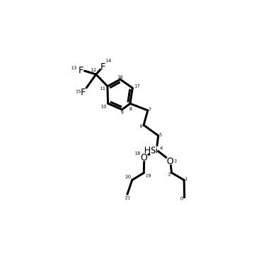 CCCO[SiH](CCCc1ccc(C(F)(F)F)cc1)OCCC